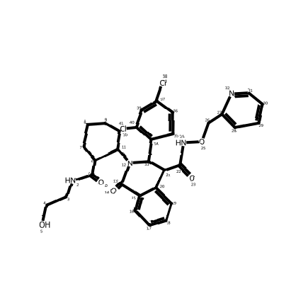 O=C(NCCO)C1CCCCC1N1C(=O)c2ccccc2C(C(=O)NOCc2ccccn2)C1c1ccc(Cl)cc1Cl